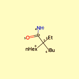 CCCCCCC(CC)(C([NH])=O)C(C)CC